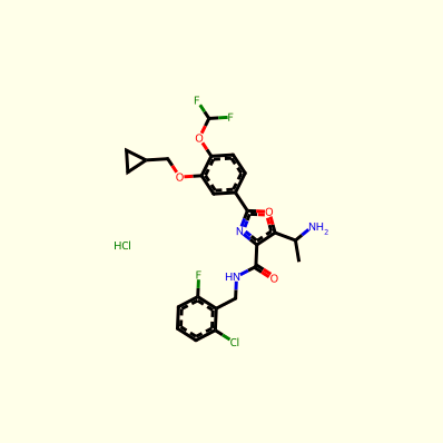 CC(N)c1oc(-c2ccc(OC(F)F)c(OCC3CC3)c2)nc1C(=O)NCc1c(F)cccc1Cl.Cl